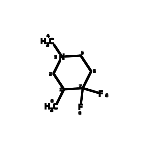 CC1CN(C)CCC1(F)F